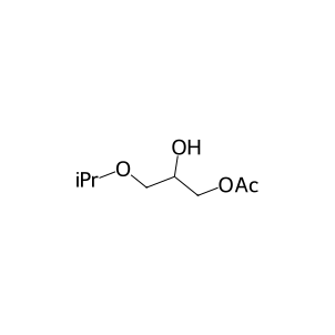 CC(=O)OCC(O)COC(C)C